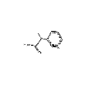 CC(C(N)=O)c1cccnn1